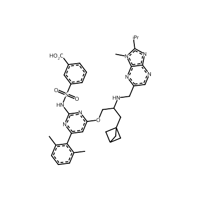 Cc1cccc(C)c1-c1cc(OCC(CC23CC(C2)C3)NCc2cnc3nc(C(C)C)n(C)c3n2)nc(NS(=O)(=O)c2cccc(C(=O)O)c2)n1